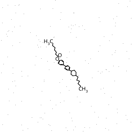 CCCCCCCC(=O)Oc1ccc(-c2ccc(C3CCC(CCCCCC)CC3)cc2)cc1